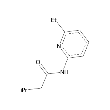 CCc1cccc(NC(=O)CC(C)C)n1